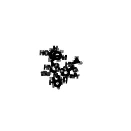 CCC[C@H](NC(=O)[C@@H]1[C@H]2CCC[C@H]2CN1C(=O)[C@@H](NC(=O)CC12C[C@@H]3C[C@@H](CC(O)(C3)C1)C2)C(C)(C)C)C(=O)C(=O)NC1CC1